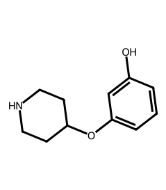 Oc1cccc(OC2CCNCC2)c1